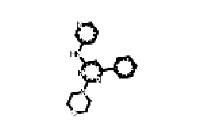 [c]1cccc(-c2cc(Nc3cccnc3)nc(N3CCOCC3)n2)c1